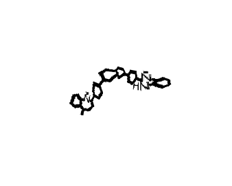 CC1CCC(C2C=CC(C3C=c4cc(C5=CCC(C6Nc7ccccc7N6C)C=C5)ccc4=CC3)=CC2)N(C)c2ccccc21